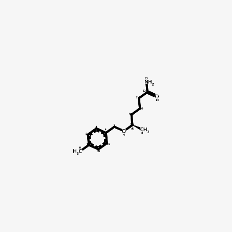 Cc1ccc(CO[C@H](C)CCCC(N)=O)cc1